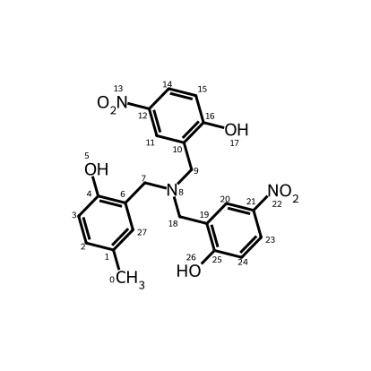 Cc1ccc(O)c(CN(Cc2cc([N+](=O)[O-])ccc2O)Cc2cc([N+](=O)[O-])ccc2O)c1